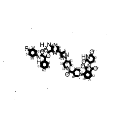 Nc1ncc(-c2cnn(C3CCN(C(=O)C4CCN(c5cccc6c5C(=O)N(C5CCC(=O)NC5=O)C6=O)CC4)CC3)c2)nc1C(=O)O[C@@H](C(=O)Nc1ccc(F)cc1)c1ccccc1